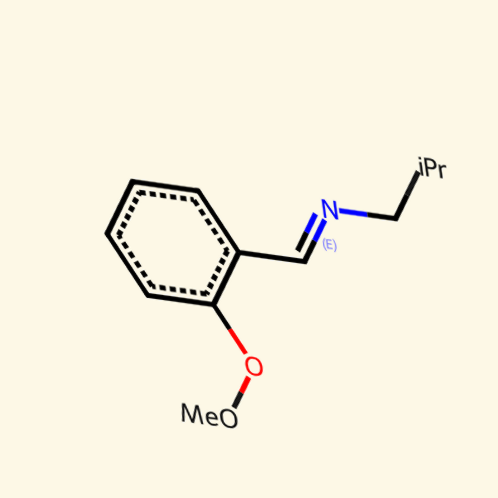 COOc1ccccc1/C=N/CC(C)C